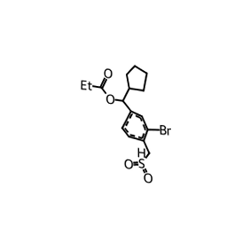 CCC(=O)OC(c1ccc(C[SH](=O)=O)c(Br)c1)C1CCCC1